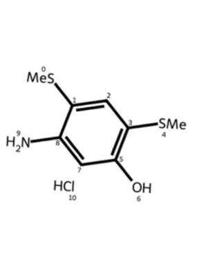 CSc1cc(SC)c(O)cc1N.Cl